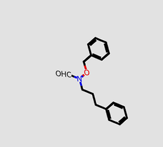 O=CN(CCCc1ccccc1)OCc1ccccc1